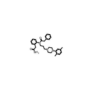 Cc1ccc(C)c(N2CCN(CCCN(C(=O)Cc3ccccc3)c3ccccc3CC(N)=O)CC2)c1